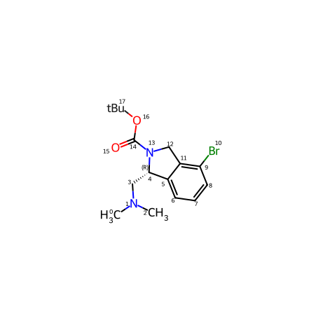 CN(C)C[C@H]1c2cccc(Br)c2CN1C(=O)OC(C)(C)C